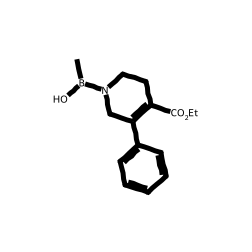 CCOC(=O)C1=C(c2ccccc2)CN(B(C)O)CC1